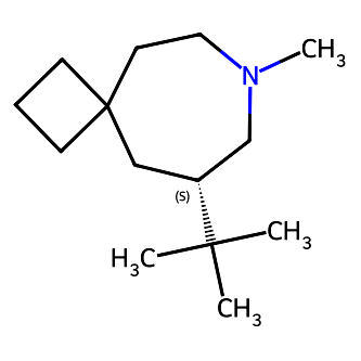 CN1CCC2(CCC2)C[C@@H](C(C)(C)C)C1